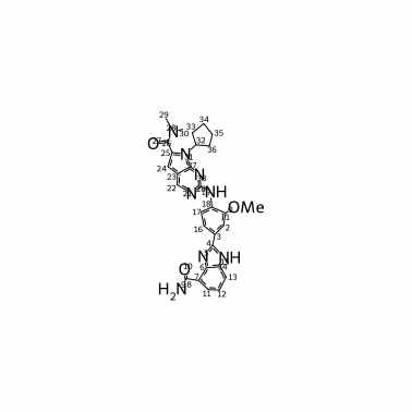 COc1cc(-c2nc3c(C(N)=O)cccc3[nH]2)ccc1Nc1ncc2cc(C(=O)N(C)C)n(C3CCCC3)c2n1